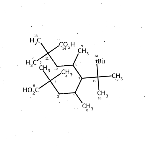 CC(CC(C)(C)C(=O)O)C(C(C)CC(C)(C)C(=O)O)C(C)(C)C(C)(C)C